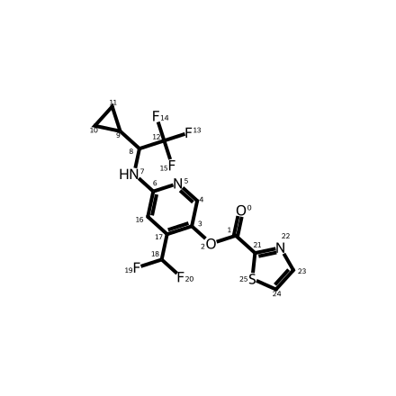 O=C(Oc1cnc(NC(C2CC2)C(F)(F)F)cc1C(F)F)c1nccs1